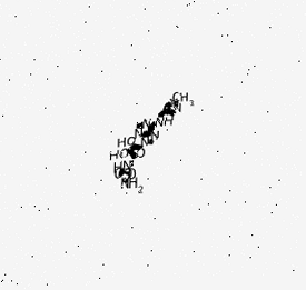 Cn1cc(CNc2ncnc3c2ncn3[C@@H]2O[C@H](CNS(N)(=O)=O)[C@@H](O)[C@H]2O)cn1